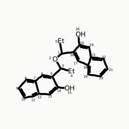 CCC(OC(CC)c1cc2ccccc2cc1O)c1cc2ccccc2cc1O